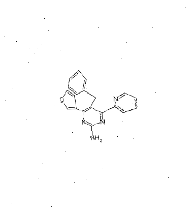 Nc1nc(-c2ccoc2)c(Cc2ccccc2)c(-c2ccccn2)n1